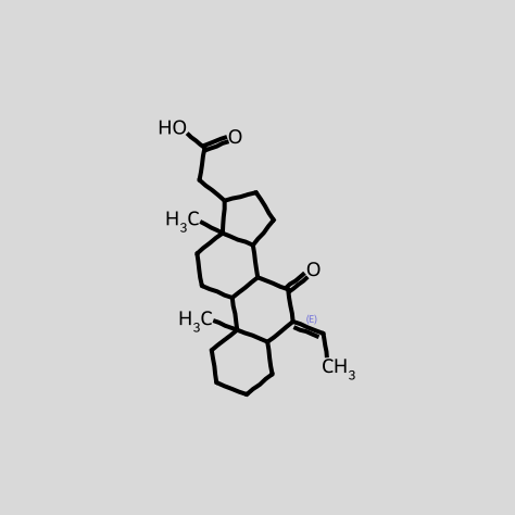 C/C=C1/C(=O)C2C3CCC(CC(=O)O)C3(C)CCC2C2(C)CCCCC12